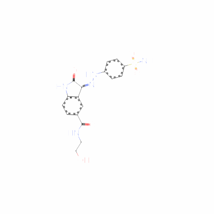 NS(=O)(=O)c1ccc(NN=C2C(=O)Nc3ccc(C(=O)NCCO)cc32)cc1